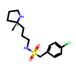 C[C@@]1(CCCNS(=O)(=O)Cc2ccc(Cl)cc2)CCCN1